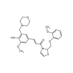 COc1ccccc1OCC1SC=CN1C(=O)C=Cc1cc(CN2CCOCC2)c(O)c(OC)c1